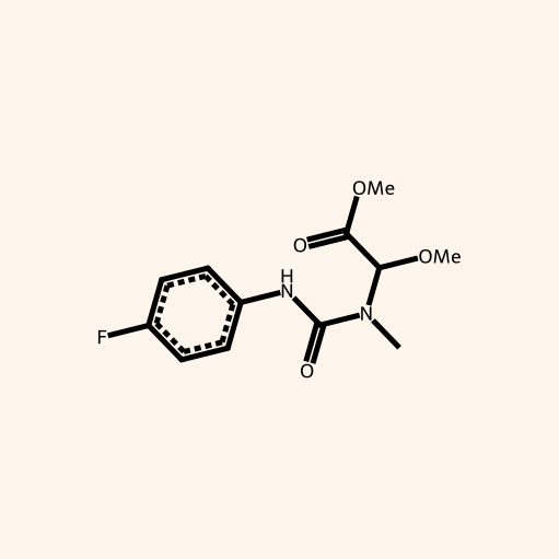 COC(=O)C(OC)N(C)C(=O)Nc1ccc(F)cc1